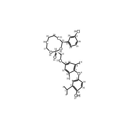 CC(C)c1cc(Oc2c(I)cc(OC[P@@]3(=O)OCCCCC[C@@H](c4cccc(Cl)c4)O3)cc2I)ccc1O